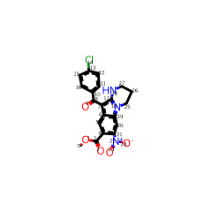 COC(=O)c1cc2c(C(=O)c3ccc(Cl)cc3)c3n(c2cc1[N+](=O)[O-])CCCN3